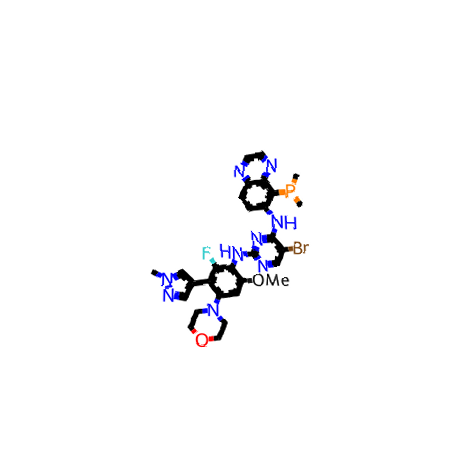 COc1cc(N2CCOCC2)c(-c2cnn(C)c2)c(F)c1Nc1ncc(Br)c(Nc2ccc3nccnc3c2P(C)C)n1